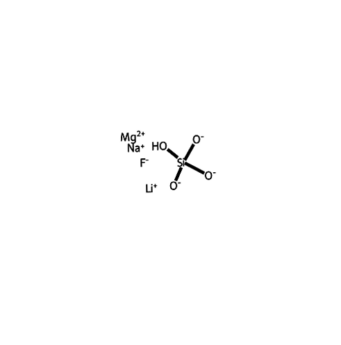 [F-].[Li+].[Mg+2].[Na+].[O-][Si]([O-])([O-])O